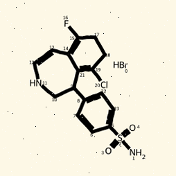 Br.NS(=O)(=O)c1ccc(C2CNC=CC3=C(F)CCC(Cl)=C32)cc1